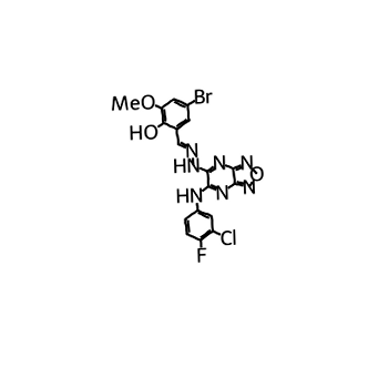 COc1cc(Br)cc(C=NNc2nc3nonc3nc2Nc2ccc(F)c(Cl)c2)c1O